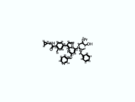 CCCC(CO)CN(B(C)Cc1ccccc1)c1cc(Oc2cccnc2)nc2c(-c3ccc(C(=O)NC4CC4)c(C)c3)cnn12